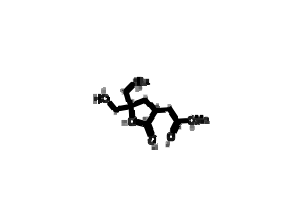 COC(=O)CC1CC(CO)(CC(C)(C)C)OC1=O